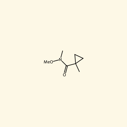 CON(C)C(=O)C1(C)CC1